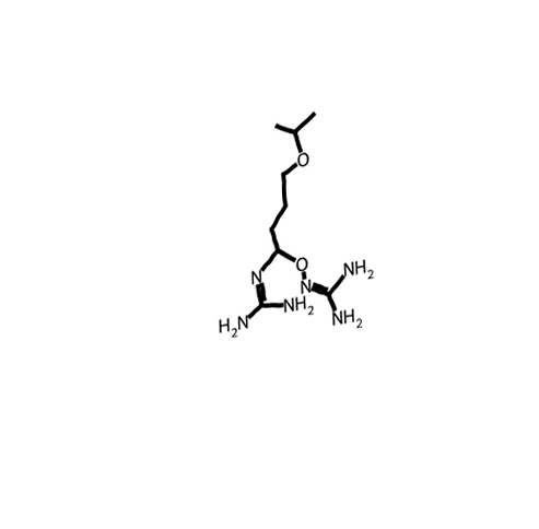 CC(C)OCCCC(N=C(N)N)ON=C(N)N